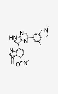 Cc1cc(-c2cnc3[nH]cc(-c4ccc(C(=O)N(C)C)c5[nH]cnc45)c3n2)cc2c1CCN(C)C2